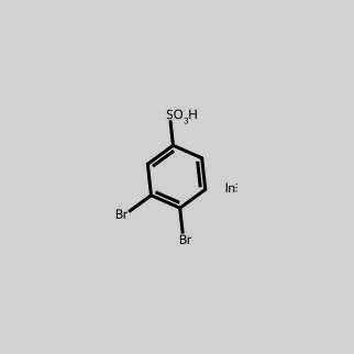 O=S(=O)(O)c1ccc(Br)c(Br)c1.[In]